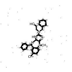 CN1C(=O)C(NC(=S)N(CCO)Cc2ccccc2)N=C(c2ccccc2)c2cc(Cl)ccc21